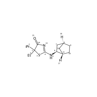 CCC1(C(C)C)SC(N[C@H]2C[C@H]3CC[C@H]2C3)=NC1=O